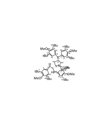 COc1c(C(C)(C)C)cc(PC(Pc2cc(C(C)(C)C)c(OC)c(C(C)(C)C)c2)[C@@H]2C[C@H](P(c3cc(C(C)(C)C)c(OC)c(C(C)(C)C)c3)c3cc(C(C)(C)C)c(OC)c(C(C)(C)C)c3)CN2C(=O)O)cc1C(C)(C)C